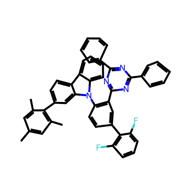 Cc1cc(C)c(-c2ccc3c4ccccc4n(-c4ccc(-c5c(F)cccc5F)cc4-c4nc(-c5ccccc5)nc(-c5ccccc5)n4)c3c2)c(C)c1